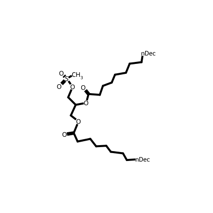 CCCCCCCCCCCCCCCCCC(=O)OCC(COS(C)(=O)=O)OC(=O)CCCCCCCCCCCCCCCCC